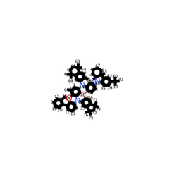 Cc1cc2c3c(c1)N(c1cccc4c1OCc1ccccc1-4)c1cc4c(cc1B3c1ccc(N3c5ccc(C(C)(C)C)cc5C5(C)CCCCC35C)cc1N2c1cc2c(cc1C)C(C)(C)CCC2(C)C)C(C)(C)CC4(C)C